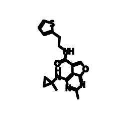 Cc1nc(NC2(C)CC2)c2c(C(=O)NCCc3cccs3)coc2n1